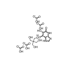 O=[N+]([O-])O.O=[N+]([O-])O.O=[N+]([O-])O.O=[N+]([O-])O.O=c1[nH]c2nc[nH]c2c(=O)n1O.OCC(CO)(CO)CO